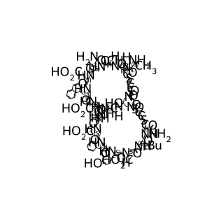 C[C@H](N)C(=O)N[C@H]1CSCCS(=O)(=O)N2CCN3CC(O)(C2)NC[C@@H]2NC(=O)[C@H](NC(=O)[C@H](Cc4cccc5ccccc45)NC(=O)[C@H](CCC(=O)O)NC(=O)[C@H](CC(N)=O)NC(=O)[C@@H](C)NC1=O)C(C(=O)O)C[C@H](NC2=O)C(=O)N[C@@H](CC(=O)O)C(=O)N[C@@H](Cc1ccccc1)C(=O)N[C@@H](Cc1ccc(O)cc1)C(=O)N[C@@H](CC(=O)O)C(=O)N[C@@H](C(C)(C)C)C(=O)N[C@H](C(N)=O)CSCCS3(=O)=O